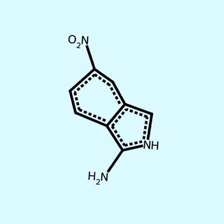 Nc1[nH]cc2cc([N+](=O)[O-])ccc12